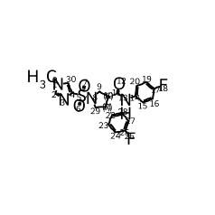 Cn1cnc(S(=O)(=O)N2C[C@@H](C(=O)Nc3ccc(F)cc3)[C@H](c3ccc(F)cc3)C2)c1